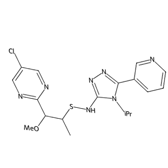 COC(c1ncc(Cl)cn1)C(C)SNc1nnc(-c2cccnc2)n1C(C)C